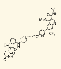 CNc1c(C(=O)NC2CC2)cnc2cc(C(F)(F)F)c(-c3ccc(OCCCN4CCC(Nc5cccc6c5C(=O)N(C5CCC(=O)NC5=O)C6=O)CC4)nc3)cc12